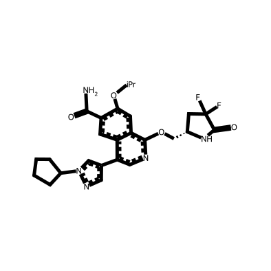 CC(C)Oc1cc2c(OC[C@@H]3CC(F)(F)C(=O)N3)ncc(-c3cnn(C4CCCC4)c3)c2cc1C(N)=O